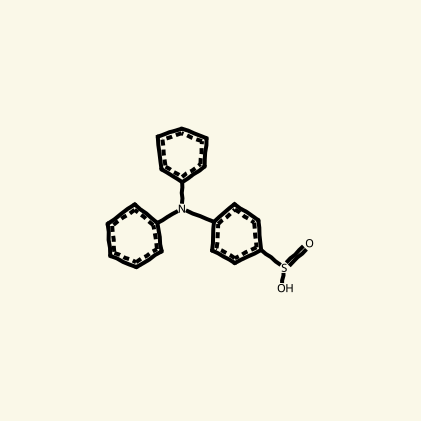 O=S(O)c1ccc(N(c2ccccc2)c2ccccc2)cc1